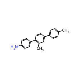 Cc1ccc(-c2ccc(-c3ccc(N)cc3)c(C)c2)cc1